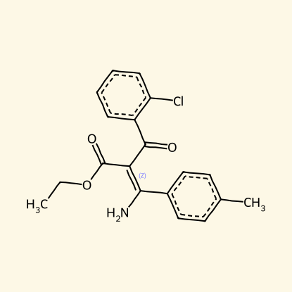 CCOC(=O)/C(C(=O)c1ccccc1Cl)=C(\N)c1ccc(C)cc1